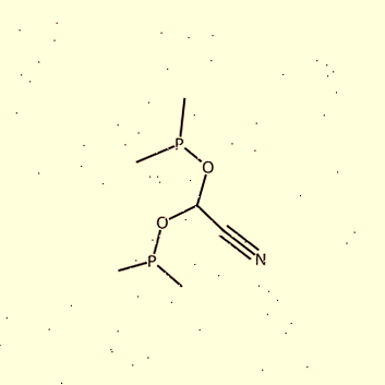 CP(C)OC(C#N)OP(C)C